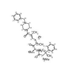 CN[C@H](C(=O)N[C@H](C(=O)N(C)[C@H](/C=C(\C)C(=O)N1CCN(Cc2ccccc2)CC1)C(C)C)C(C)(C)C)C(C)(C)c1ccccc1